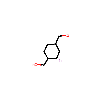 I.OCC1CCC(CO)CC1